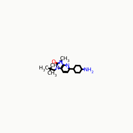 Cn1c(=O)n(CC(C)(C)C)c2ccc(C3CCC(N)CC3)nc21